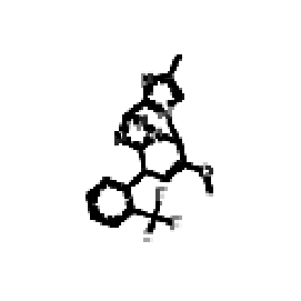 COC1=CC(c2ccccc2C(F)(F)F)c2nc3nn2C1n1cc(C)nc1-3